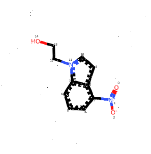 O=[N+]([O-])c1cccc2c1ccn2CCO